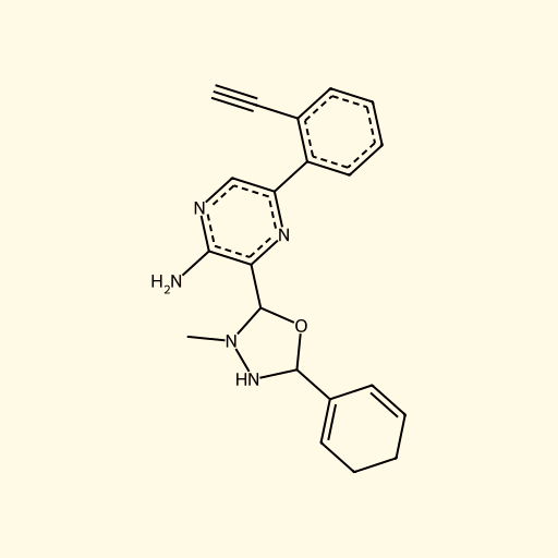 C#Cc1ccccc1-c1cnc(N)c(C2OC(C3=CCCC=C3)NN2C)n1